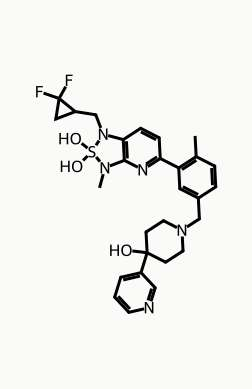 Cc1ccc(CN2CCC(O)(c3cccnc3)CC2)cc1-c1ccc2c(n1)N(C)S(O)(O)N2CC1CC1(F)F